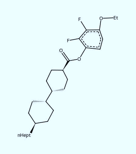 CCCCCCC[C@H]1CC[C@H]([C@H]2CC[C@H](C(=O)Oc3ccc(OCC)c(F)c3F)CC2)CC1